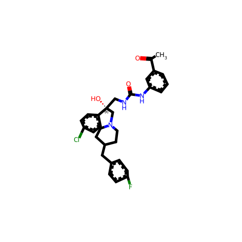 CC(=O)c1cccc(NC(=O)NC[C@@](O)(CN2CCC(Cc3ccc(F)cc3)CC2)c2ccc(Cl)cc2)c1